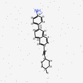 CC1CCC(C#Cc2ccc3cc(-c4ccc(N)cc4)ccc3c2)CC1